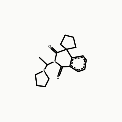 CC(N1CCCC1)N1C(=O)c2ccccc2C2(CCCC2)C1=O